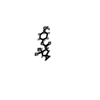 CCC1(CC)CC2(CC2)CN1C(=O)OC1CCN(C)CC1